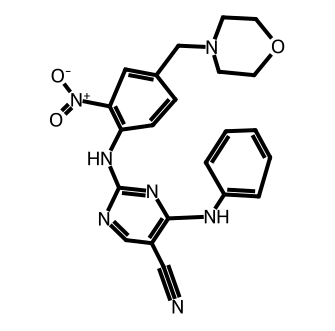 N#Cc1cnc(Nc2ccc(CN3CCOCC3)cc2[N+](=O)[O-])nc1Nc1ccccc1